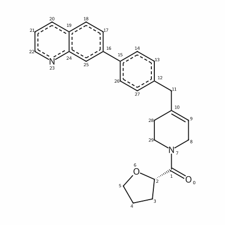 O=C([C@@H]1CCCO1)N1CC=C(Cc2ccc(-c3ccc4cccnc4c3)cc2)CC1